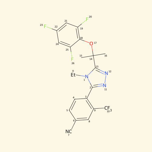 CCn1c(-c2ccc(C#N)cc2C(F)(F)F)nnc1C(C)(C)Oc1c(F)cc(F)cc1F